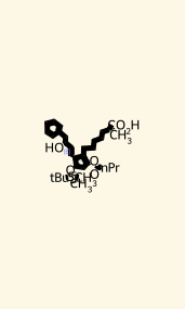 CCCC(=O)OC1=C(CCCCCC(C)C(=O)O)[C@H](/C=C/C(O)Cc2ccccc2)[C@H](O[Si](C)(C)C(C)(C)C)C1